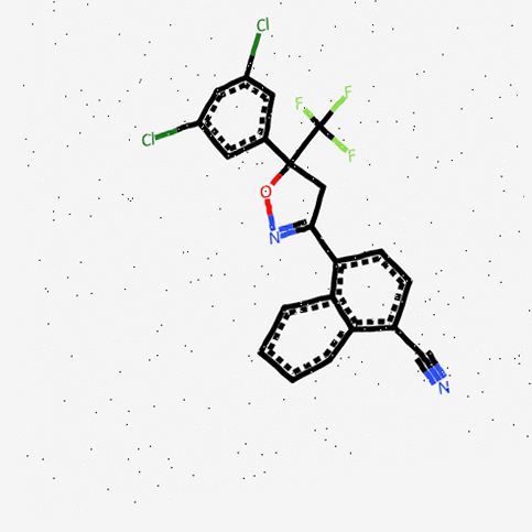 N#Cc1ccc(C2=NOC(c3cc(Cl)cc(Cl)c3)(C(F)(F)F)C2)c2ccccc12